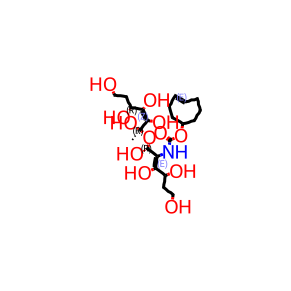 C[C@@](O)(O[C@@H](O)/C(NC(=O)OC1CC/C=C/CCC1)=C(\O)C(O)CCO)/C(O)=C(/O)[C@H](O)CCO